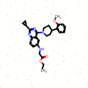 CCOC(=O)CNc1ccc2nc(C3CC3)nc(N3CCC(c4ccccc4OC)CC3)c2c1